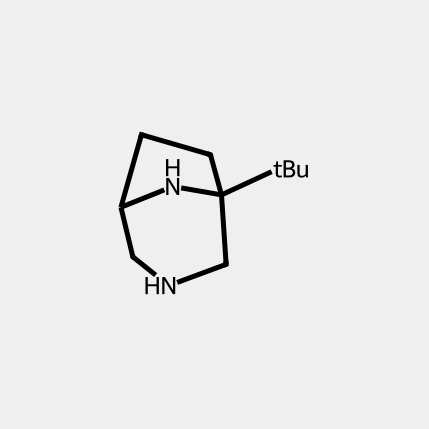 CC(C)(C)C12CCC(CNC1)N2